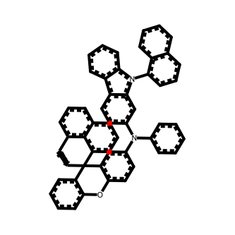 c1ccc(N(c2ccc3c(c2)C2(c4ccccc4O3)c3ccccc3-c3cccc4cccc2c34)c2ccc3c4ccccc4n(-c4cccc5ccccc45)c3c2)cc1